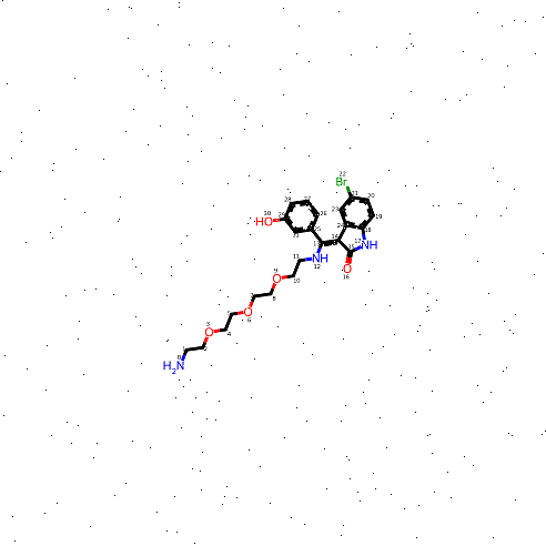 NCCOCCOCCOCCN/C(=C1\C(=O)Nc2ccc(Br)cc21)c1cccc(O)c1